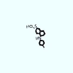 Cc1ccc(Nc2cccc3cc(S(=O)(=O)O)ccc23)cc1